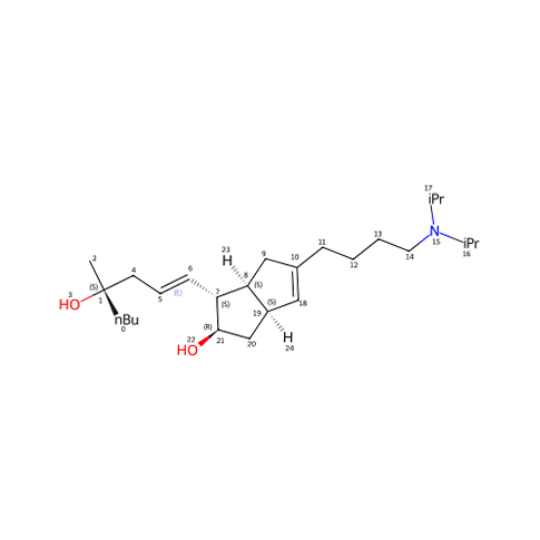 CCCC[C@](C)(O)C/C=C/[C@@H]1[C@H]2CC(CCCCN(C(C)C)C(C)C)=C[C@H]2C[C@H]1O